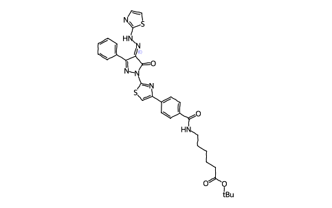 CC(C)(C)OC(=O)CCCCCNC(=O)c1ccc(-c2csc(N3N=C(c4ccccc4)/C(=N\Nc4nccs4)C3=O)n2)cc1